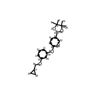 CC1(C)OB(c2ccc(Oc3cccc(OCC4CC4)c3)nc2)OC1(C)C